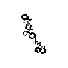 CC(c1ccccc1F)N1CCN(C(=O)c2ccc(ONOc3cccc4cccnc34)cc2)C(C)C1